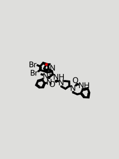 C[N+]1(c2cccnc2)C(C(Cc2ccc(Br)c(Br)c2)NC(=O)N2CCC(N3CCc4ccccc4NC3=O)CC2)=Nc2ccccc21